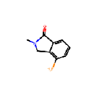 CN1Cc2c(P)cccc2C1=O